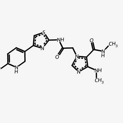 CNC(=O)c1c(NC)ncn1CC(=O)Nc1nc(C2=CC=C(F)NC2)cs1